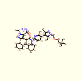 CCn1ncc(C(C(=O)Nc2ccc(-c3c(C)nn(COCC[Si](C)(C)C)c3C)c(C)n2)C(C2CCCCC2)C2CCCCC2)c1C(N)=O